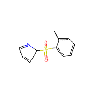 Cc1ccccc1S(=O)(=O)C1C=CC=N1